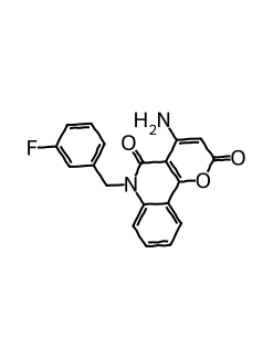 Nc1cc(=O)oc2c1c(=O)n(Cc1cccc(F)c1)c1ccccc21